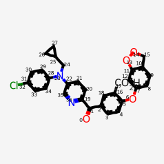 O=C(c1ccc(Oc2ccc3c(c2)OOC3)c(C(=O)O)c1)c1ccc(N(CC2CC2)c2ccc(Cl)cc2)cn1